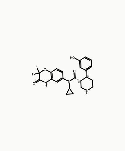 O=C([C@H]1CNCC[C@@H]1c1cccc(O)c1)N(c1ccc2c(c1)NC(=O)C(F)(F)O2)C1CC1